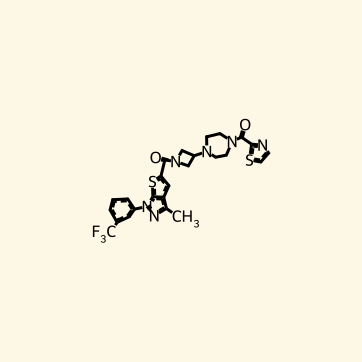 Cc1nn(-c2cccc(C(F)(F)F)c2)c2sc(C(=O)N3CC(N4CCN(C(=O)c5nccs5)CC4)C3)cc12